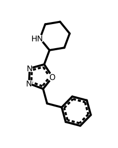 c1ccc(Cc2nnc(C3CCCCN3)o2)cc1